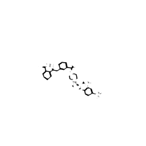 O=C(c1cccc(Cc2n[nH]c(=O)c3ccccc23)c1)N1CCN(/[N+]([O-])=N/Oc2ccc([N+](=O)[O-])cc2[N+](=O)[O-])CC1